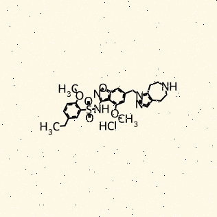 CCc1ccc(OC)c(S(=O)(=O)Nc2noc3cc(Cn4ncc5c4CCNCC5)cc(OC)c23)c1.Cl